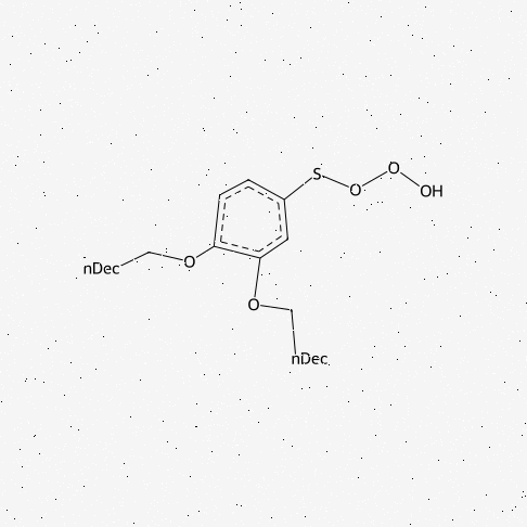 CCCCCCCCCCCOc1ccc(SOOO)cc1OCCCCCCCCCCC